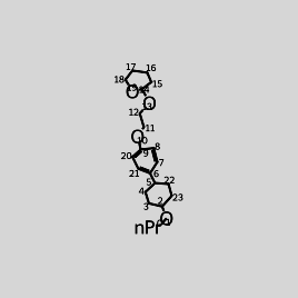 CCCOC1CCC(c2ccc(OCCOC3CCCCO3)cc2)CC1